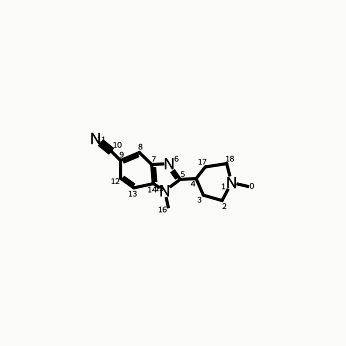 CN1CCC(c2nc3cc(C#N)ccc3n2C)CC1